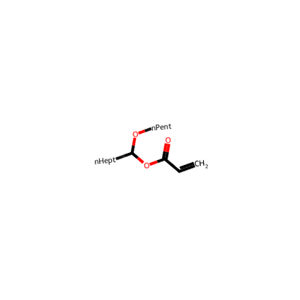 C=CC(=O)OC(CCCCCCC)OCCCCC